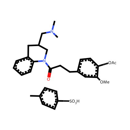 COc1cc(CCC(=O)N2CC(CN(C)C)Cc3ccccc32)ccc1OC(C)=O.Cc1ccc(S(=O)(=O)O)cc1